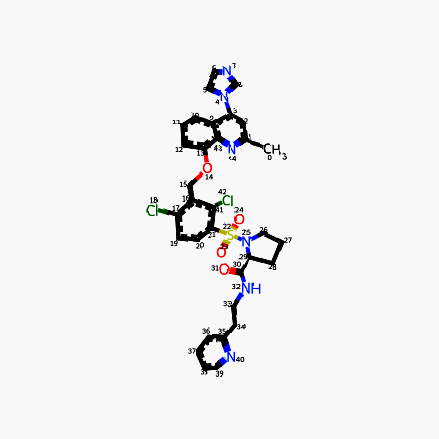 Cc1cc(-n2ccnc2)c2cccc(OCc3c(Cl)ccc(S(=O)(=O)N4CCC[C@H]4C(=O)NCCc4ccccn4)c3Cl)c2n1